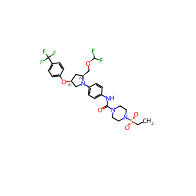 CCS(=O)(=O)N1CCN(C(=O)Nc2ccc(N3C[C@@H](Oc4ccc(C(F)(F)F)cc4)C[C@H]3COC(F)F)cc2)CC1